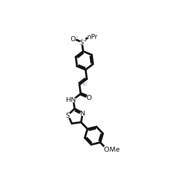 CCC[S+]([O-])c1ccc(/C=C/C(=O)NC2=NC(c3ccc(OC)cc3)CS2)cc1